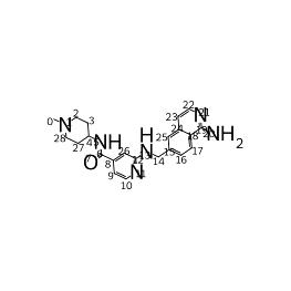 CN1CCC(NC(=O)c2ccnc(NCc3ccc4c(N)nccc4c3)c2)CC1